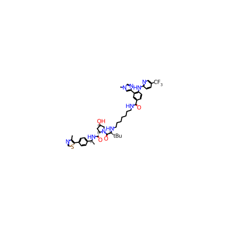 Cc1ncsc1-c1ccc([C@H](C)NC(=O)[C@@H]2C[C@@H](O)CN2C(=O)[C@@H](NCCCCCCCNC(=O)c2ccc(Nc3ccc(C(F)(F)F)cn3)c(-c3cn(C)cn3)c2)C(C)(C)C)cc1